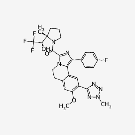 COc1cc2c(cc1-c1nnn(C)n1)-c1c(-c3ccc(F)cc3)nc(C(=O)N3CCC[C@@]3(C)[C@@H](O)C(F)(F)F)n1CC2